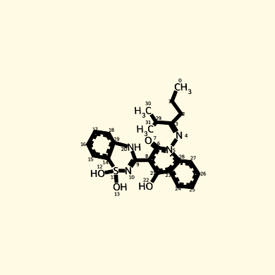 CCC/C(=N/n1c(=O)c(C2=NS(O)(O)c3ccccc3N2)c(O)c2ccccc21)C(C)C